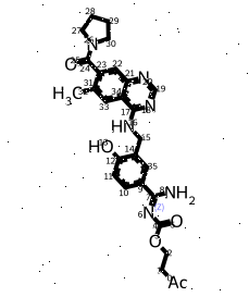 CC(=O)CCOC(=O)/N=C(\N)c1ccc(O)c(CNc2ncnc3cc(C(=O)N4CCCC4)c(C)cc23)c1